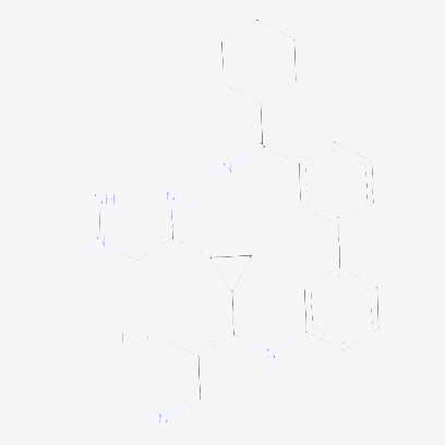 CCOC(=O)/C(C=N)=C(/Nc1cccc(-c2cccc(C(=N)C3CCCCC3)c2)c1)C1CC1/C(N)=C/N(C)N